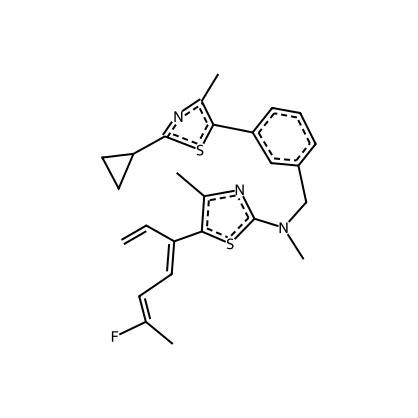 C=C/C(=C\C=C(/C)F)c1sc(N(C)Cc2cccc(-c3sc(C4CC4)nc3C)c2)nc1C